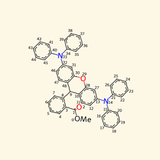 COC(=O)c1ccccc1C1c2ccc(N(c3ccccc3)c3ccccc3)cc2Oc2cc(N(c3ccccc3)c3ccccc3)ccc21